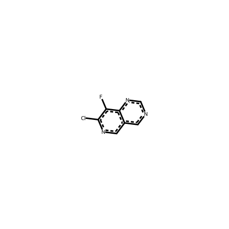 Fc1c(Cl)ncc2cncnc12